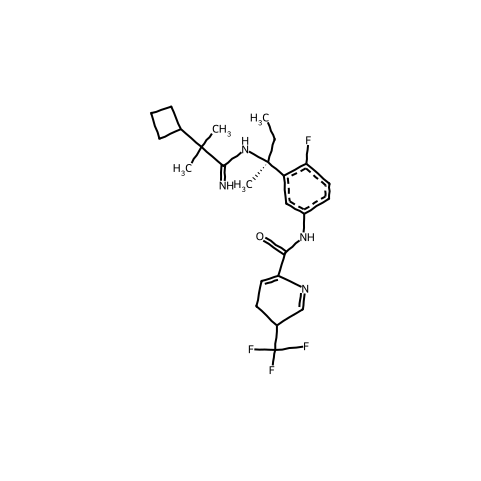 CC[C@](C)(NC(=N)C(C)(C)C1CCC1)c1cc(NC(=O)C2=CCC(C(F)(F)F)C=N2)ccc1F